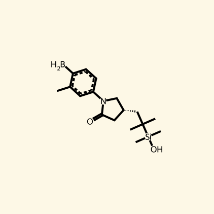 Bc1ccc(N2C[C@H](CC(C)(C)[Si](C)(C)O)CC2=O)cc1C